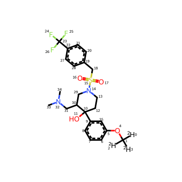 [2H]C([2H])([2H])Oc1cccc(C2(O)CCN(S(=O)(=O)Cc3ccc(C(F)(F)F)cc3)CC2CN(C)C)c1